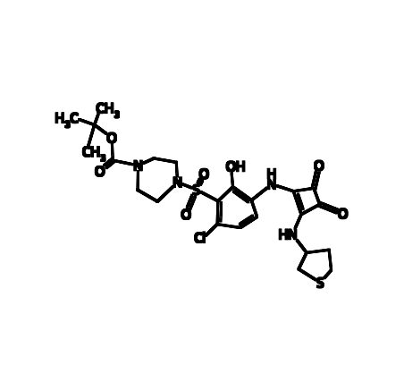 CC(C)(C)OC(=O)N1CCN(S(=O)(=O)c2c(Cl)ccc(Nc3c(NC4CCSC4)c(=O)c3=O)c2O)CC1